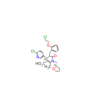 CC1=C(C(=O)O)[C@@H](c2ccc(Cl)nc2)C(Cc2ccccc2OCCCl)C(=O)N1C[C@@H]1CCCO1